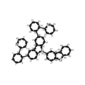 c1ccc(-c2ccccc2-c2ccc3c(c2)c2cc(-c4ccccc4-c4ccccn4)ccc2n3-c2ccc3oc4ccccc4c3c2)nc1